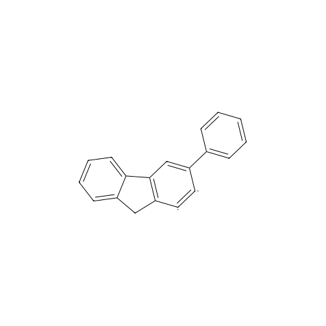 [c]1[c]c2c(cc1-c1ccccc1)-c1ccccc1C2